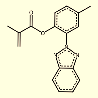 C=C(C)C(=O)Oc1ccc(C)cc1-n1nc2ccccc2n1